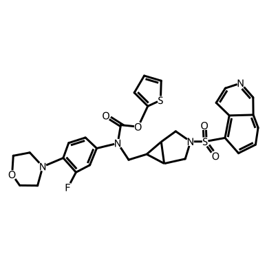 O=C(Oc1cccs1)N(CC1C2CN(S(=O)(=O)c3cccc4cnccc34)CC12)c1ccc(N2CCOCC2)c(F)c1